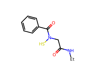 CCNC(=O)CN(S)C(=O)c1ccccc1